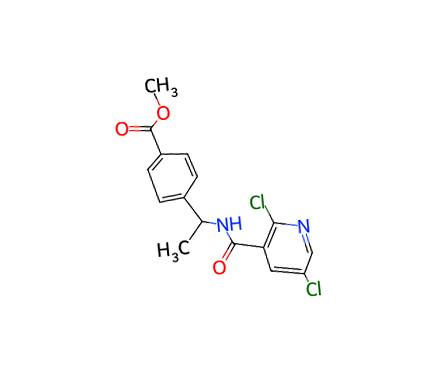 COC(=O)c1ccc(C(C)NC(=O)c2cc(Cl)cnc2Cl)cc1